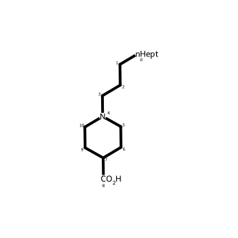 CCCCCCCCCCN1CCC(C(=O)O)CC1